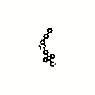 N=C1C=CC(c2ccc(-c3ccccc3)cc2)=C/C1=N/Nc1ccc(-c2c3ccccc3c(-c3cccnc3)c3ccccc23)cc1